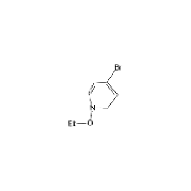 CCON1C=CC(Br)=CC1